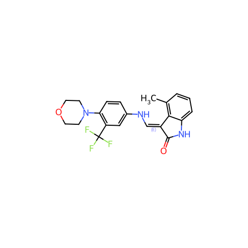 Cc1cccc2c1/C(=C\Nc1ccc(N3CCOCC3)c(C(F)(F)F)c1)C(=O)N2